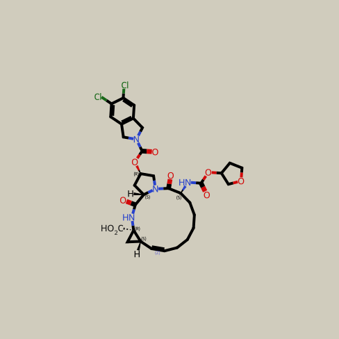 O=C(N[C@H]1CCCCC/C=C\[C@@H]2C[C@@]2(C(=O)O)NC(=O)[C@@H]2C[C@@H](OC(=O)N3Cc4cc(Cl)c(Cl)cc4C3)CN2C1=O)OC1CCOC1